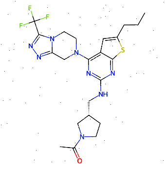 CCCc1cc2c(N3CCn4c(nnc4C(F)(F)F)C3)nc(NC[C@@H]3CCN(C(C)=O)C3)nc2s1